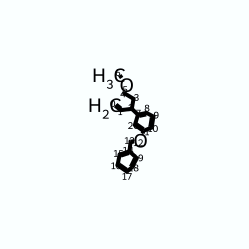 C=CC(CCOC)c1cccc(OCc2ccccc2)c1